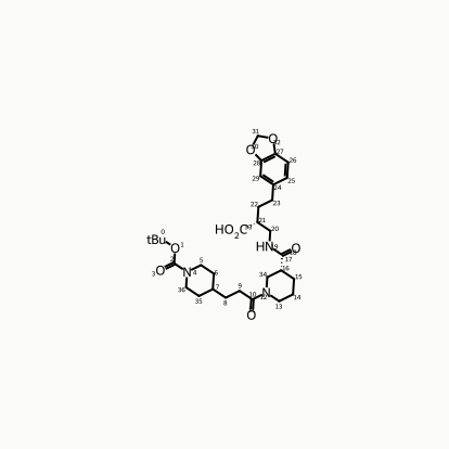 CC(C)(C)OC(=O)N1CCC(CCC(=O)N2CCC[C@@H](C(=O)NC[C@@H](CCc3ccc4c(c3)OCO4)C(=O)O)C2)CC1